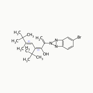 C=C(/C(O)=C(\C=C(/C)C(C)(C)C)C(C)(C)C)n1n2c3ccc(Br)cc3n12